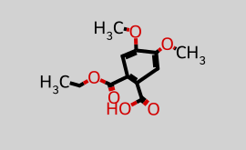 CCOC(=O)c1cc(OC)c(OC)cc1C(=O)O